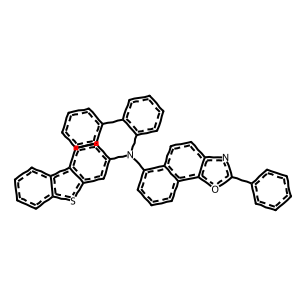 c1ccc(-c2nc3ccc4c(N(c5ccc6c(c5)sc5ccccc56)c5ccccc5-c5ccccc5)cccc4c3o2)cc1